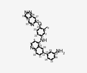 Cc1cc(Nc2ccnc3ccc(-c4cccc(N)c4)cc23)ccc1Oc1cc2nncn2cn1